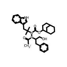 CC(=O)N(C(CO)Cc1ccccc1)N(C(=O)OC1CCC2CCCC1C2)C(C)(C)Cc1c[nH]c2ccccc12.[CH2]